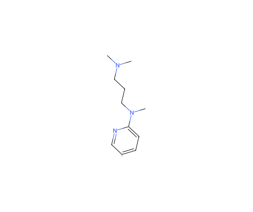 CN(C)CCCN(C)c1cc[c]cn1